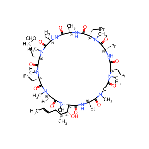 CC=CC[C@@H](C)[C@@H](O)[C@H]1C(=O)N[C@@H](CC)C(=O)N(C)CC(=O)N(C)[C@@H](CC(C)C)C(=O)N[C@@H](C(C)C)C(=O)N(C)[C@@H](CC(C)C)C(=O)N[C@@H](C)C(=O)N[C@H](C)C(=O)N(C)[C@@H](CC(C)C)C(=O)N(C)[C@@H](CC(C)C)C(=O)N(C)[C@@H](C(C)C)C(=O)N1C.CC=O